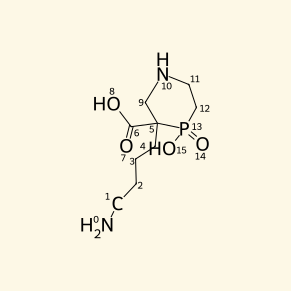 NCCCCC1(C(=O)O)CNCCP1(=O)O